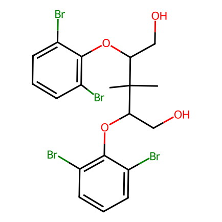 CC(C)(C(CO)Oc1c(Br)cccc1Br)C(CO)Oc1c(Br)cccc1Br